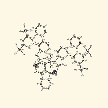 CC(C)C1=Cc2c(ccc(-c3ccccc3)c2-c2cc([Si](C)(C)C)cc([Si](C)(C)C)c2)[CH]1[Zr]([Cl])([Cl])([c]1cccc2c1[SiH2]c1ccccc1-2)[CH]1C(C(C)C)=Cc2c1ccc(-c1ccccc1)c2-c1cc([Si](C)(C)C)cc([Si](C)(C)C)c1